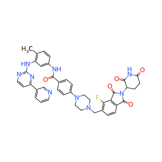 Cc1ccc(NC(=O)c2ccc(N3CCN(Cc4ccc5c(c4F)C(=O)N(C4CCC(=O)NC4=O)C5=O)CC3)cc2)cc1Nc1nccc(-c2cccnc2)n1